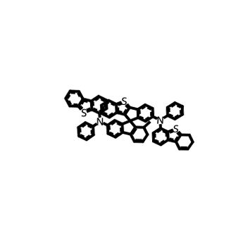 CC1CC=CC2=C1C1(c3cc(N(c4ccccc4)c4cccc5c4sc4ccccc45)ccc32)c2cc(N(c3ccccc3)c3cccc4c5c(sc34)CCC=C5)ccc2-c2sc3ccccc3c21